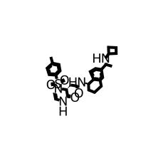 Cc1ccc(S(=O)(=O)N2C=CNC(=O)[C@H]2CC(=O)N[C@@H]2CCCc3cc(C(C)NC4CCC4)ccc32)cc1